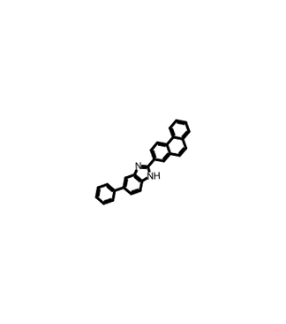 c1ccc(-c2ccc3[nH]c(-c4ccc5c(ccc6ccccc65)c4)nc3c2)cc1